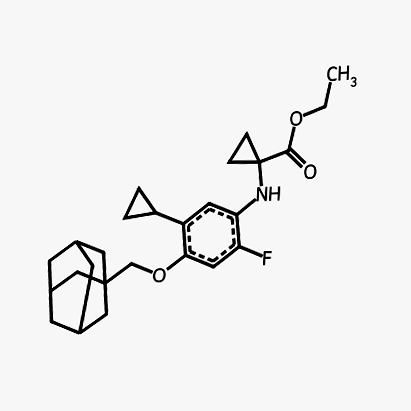 CCOC(=O)C1(Nc2cc(C3CC3)c(OCC34CC5CC(CC(C5)C3)C4)cc2F)CC1